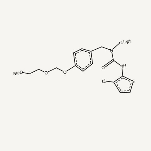 CCCCCCCN(Cc1ccc(OCOCCOC)cc1)C(=O)Nc1sccc1Cl